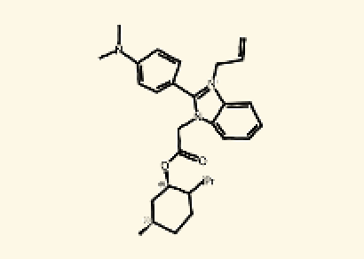 C=CC[n+]1c(-c2ccc(N(C)C)cc2)n(CC(=O)O[C@@H]2C[C@H](C)CCC2C(C)C)c2ccccc21